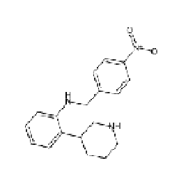 O=[N+]([O-])c1ccc(CNc2ccccc2C2CCCNC2)cc1